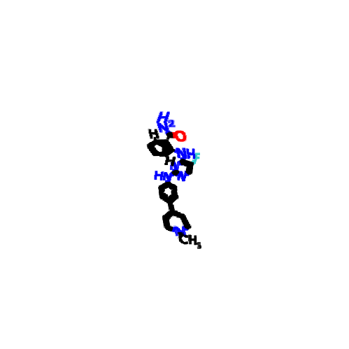 CN1CCC(c2ccc(Nc3ncc(F)c(N[C@H]4[C@@H](C(N)=O)[C@@H]5C=C[C@H]4C5)n3)cc2)CC1